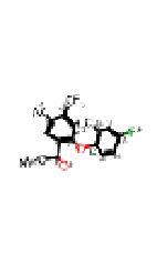 COC(=O)c1cc(C(C)=O)c(C(F)(F)F)cc1Oc1ccc(F)cc1C